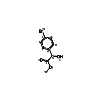 COC(=O)[C@H](O)c1ccc(Br)cc1